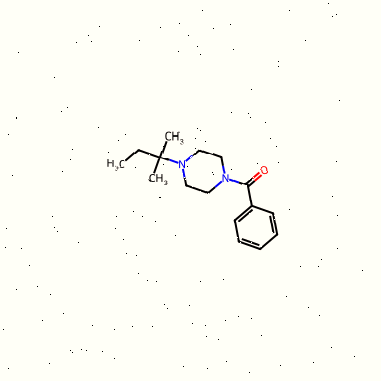 CCC(C)(C)N1CCN(C(=O)c2ccccc2)CC1